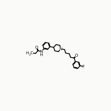 CCC(=O)Nc1cccc(C2CCN(CCCCC(=O)c3cccc(F)c3)CC2)c1